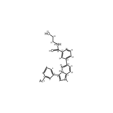 CC(=O)c1cccc(-c2cnc3ccc(-c4cccc(C(=O)NCCO)c4)nn23)c1